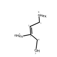 CCCCCCCC=C(CO)CCCCCC